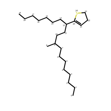 CCCCCCCCC(C)CCC(CCCCCCC)C1=CCCS1